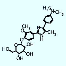 COc1cc(-c2nc(-c3ccc(N(C)C)cc3)c(C)[nH]2)ccc1O[C@@H]1O[C@H](CO)[C@H](O)[C@H](O)[C@H]1O